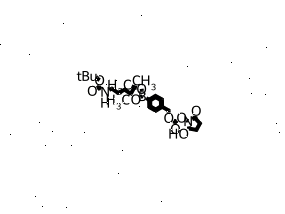 CC(C)(C)OC(=O)NCCCC1(C)OB(c2ccc(COC(=O)ON3C(=O)CCC3O)cc2)OC1(C)C